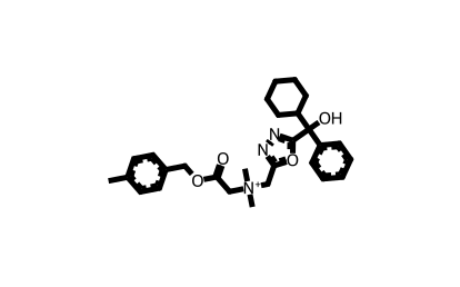 Cc1ccc(COC(=O)C[N+](C)(C)Cc2nnc(C(O)(c3ccccc3)C3CCCCC3)o2)cc1